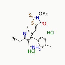 CC(=O)ON1C(=O)C(=Cc2c(C)nc(CC(C)C)c(CN)c2-c2ccc(C)cc2)SC1=S.Cl.Cl